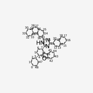 c1ccc(-c2ccc(C3=NC(c4ccc5ccccc5c4)=NC(c4ccc5ccc6ccccc6c5c4)N3)c3c2oc2ccccc23)cc1